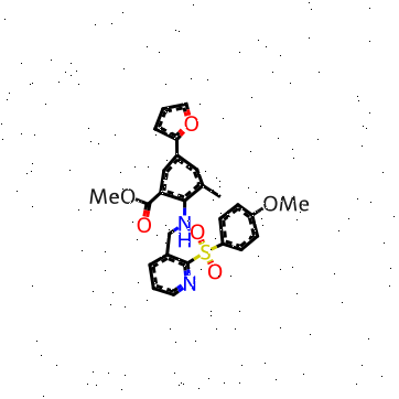 COC(=O)c1cc(-c2ccco2)cc(C)c1NCc1cccnc1S(=O)(=O)c1ccc(OC)cc1